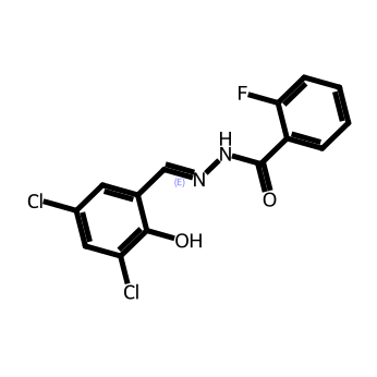 O=C(N/N=C/c1cc(Cl)cc(Cl)c1O)c1ccccc1F